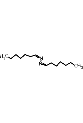 CCCCCC/C=N\N=C/CCCCCC